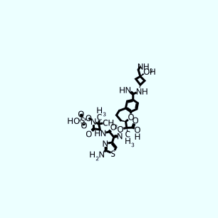 CC1(C)[C@H](NC(=O)/C(=N\O[C@](C)(C(=O)O)[C@H]2CCCc3cc(C(=N)N[C@H]4C[C@@](O)(CN)C4)ccc3O2)c2csc(N)n2)C(=O)N1OS(=O)(=O)O